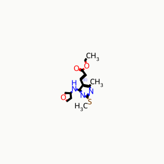 CCOC(=O)/C=C/c1c(C)nc(SC)nc1NC1CCOC1